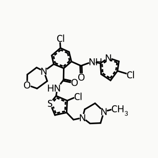 CN1CCN(Cc2csc(NC(=O)c3c(C(=O)Nc4ccc(Cl)cn4)cc(Cl)cc3N3CCOCC3)c2Cl)CC1